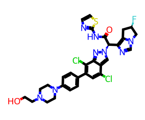 O=C(Nc1nccs1)[C@@H](c1ncn2c1C[C@@H](F)C2)n1cc2c(Cl)cc(-c3ccc(N4CCN(CCO)CC4)cc3)c(Cl)c2n1